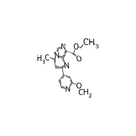 CCOC(=O)c1ncn2c(C)cc(-c3ccnc(OC)c3)nc12